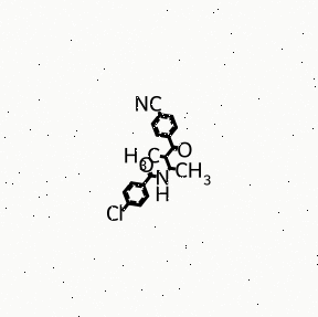 CC(NC(=O)c1ccc(Cl)cc1)C(C)C(=O)c1ccc(C#N)cc1